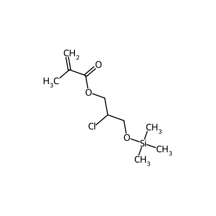 C=C(C)C(=O)OCC(Cl)CO[Si](C)(C)C